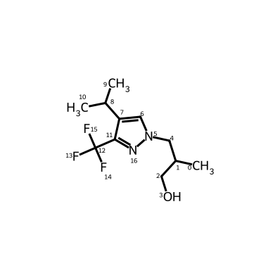 CC(CO)Cn1cc(C(C)C)c(C(F)(F)F)n1